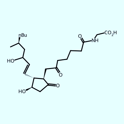 CCCC[C@H](C)CC(O)/C=C/[C@H]1[C@H](O)CC(=O)[C@@H]1CC(=O)CCCCC(=O)NCC(=O)O